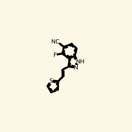 N#Cc1ccc2[nH]nc(C=Cc3cccs3)c2c1F